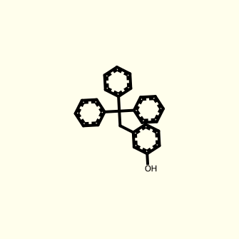 Oc1cccc(CC(c2ccccc2)(c2ccccc2)c2ccccc2)c1